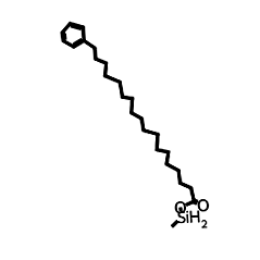 C[SiH2]OC(=O)CCCCCCCCCCCCCCCCCc1ccccc1